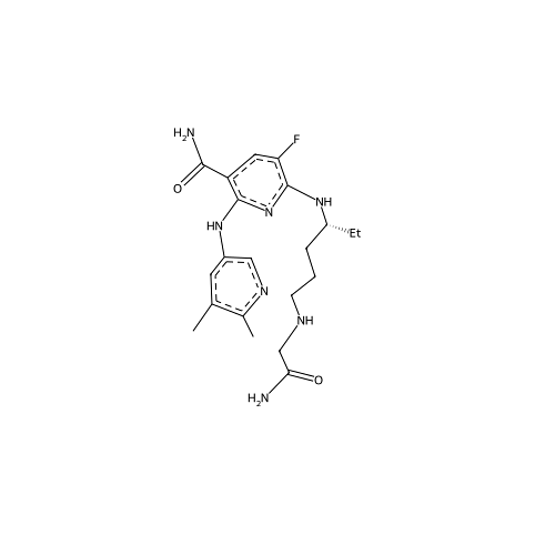 CC[C@H](CCCNCC(N)=O)Nc1nc(Nc2cnc(C)c(C)c2)c(C(N)=O)cc1F